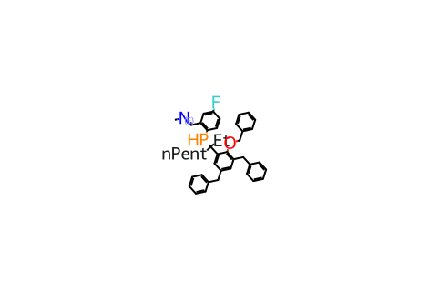 CCCCCC(CC)(Pc1ccc(F)cc1/C=N/C)c1cc(Cc2ccccc2)cc(Cc2ccccc2)c1OCc1ccccc1